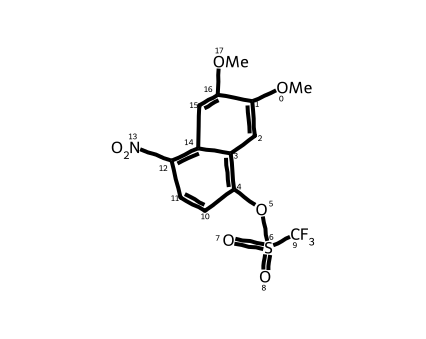 COc1cc2c(OS(=O)(=O)C(F)(F)F)ccc([N+](=O)[O-])c2cc1OC